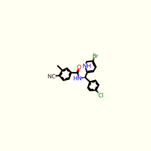 Cc1cc(C(=O)N[C@@H](C2=CC=C(Br)CN2)c2ccc(Cl)cc2)ccc1C#N